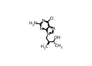 C=C(Cn1cnc2c(Cl)nc(N)nc21)[C@H](C)O